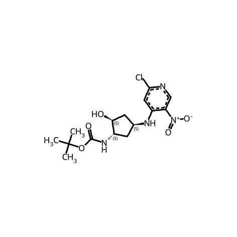 CC(C)(C)OC(=O)N[C@H]1C[C@H](Nc2cc(Cl)ncc2[N+](=O)[O-])C[C@@H]1O